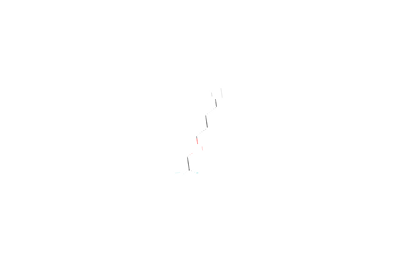 FC(F)COCCCCC(F)(F)F